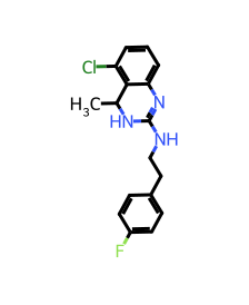 CC1NC(NCCc2ccc(F)cc2)=Nc2cccc(Cl)c21